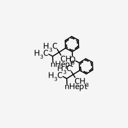 CCCCCCCC(C)C(C)(C)c1ccccc1Oc1ccccc1C(C)(C)C(C)CCCCCCC